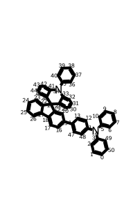 c1ccc(N(c2ccccc2)c2ccc(-c3ccc4c(c3)C3(c5ccccc5-4)c4ccccc4N(c4ccccc4)c4ccccc43)cc2)cc1